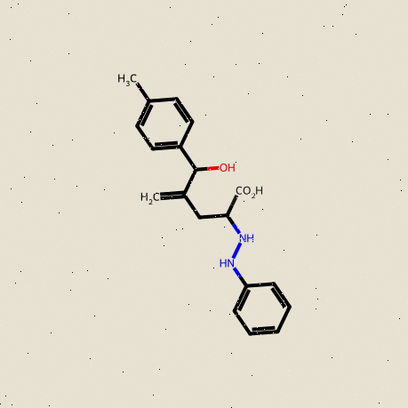 C=C(CC(NNc1ccccc1)C(=O)O)C(O)c1ccc(C)cc1